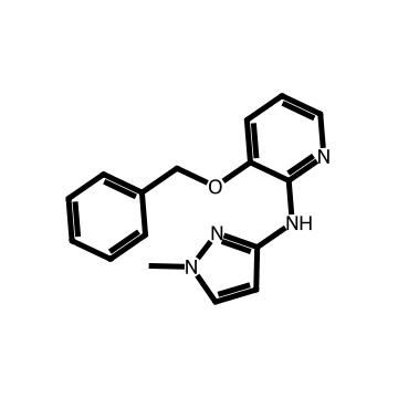 Cn1ccc(Nc2ncccc2OCc2ccccc2)n1